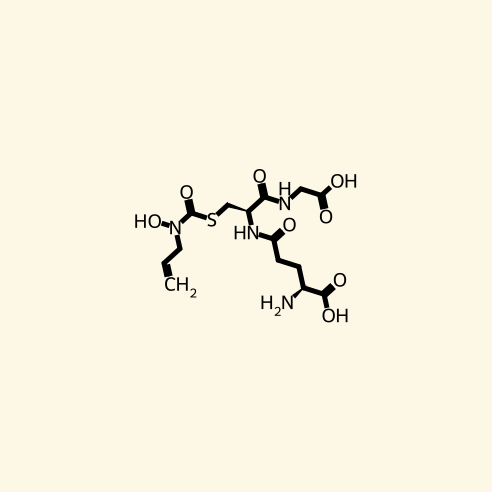 C=CCN(O)C(=O)SC[C@H](NC(=O)CC[C@H](N)C(=O)O)C(=O)NCC(=O)O